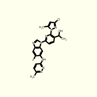 Cc1ccc(Nc2cc3c(cc2F)ncn3-c2ccc(C(C)O)c(-n3nc(Cl)cc3C)n2)nn1